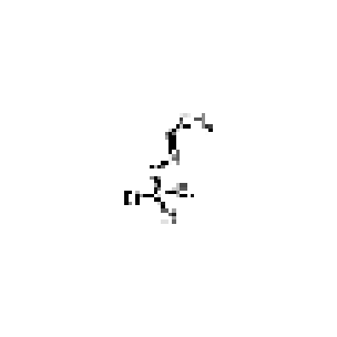 CC=NO[Si](CC)(CC)CC